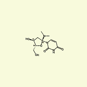 CN(C)[C@]1(n2ccc(=O)[nH]c2=O)C[C@H](O)[C@@H](CO)O1